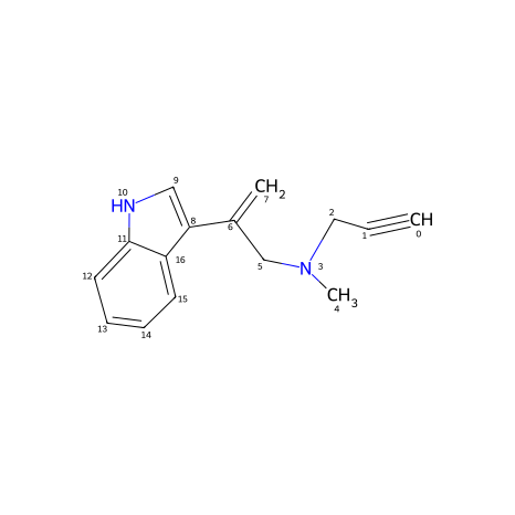 C#CCN(C)CC(=C)c1c[nH]c2ccccc12